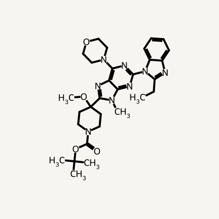 CCc1nc2ccccc2n1-c1nc(N2CCOCC2)c2nc(C3(OC)CCN(C(=O)OC(C)(C)C)CC3)n(C)c2n1